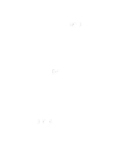 CCCCCCCCCCCCCCCCCC(=O)O.[Fe]